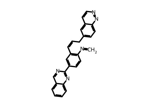 C=Nc1ccc(-c2ncc3ccccc3n2)cc1/C=C\Cc1ccc2nnccc2c1